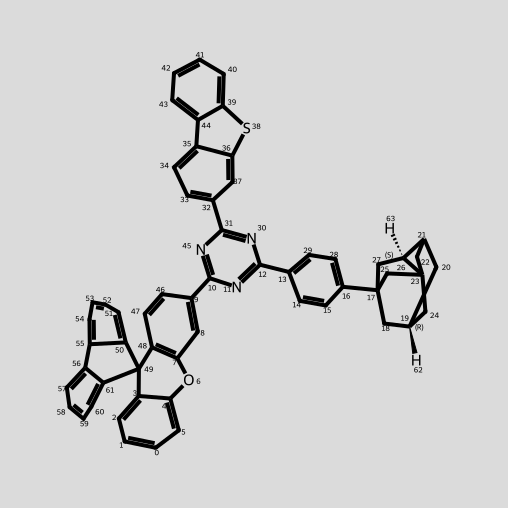 c1ccc2c(c1)Oc1cc(-c3nc(-c4ccc(C56C[C@@H]7CC8CC(C7)(C5)[C@H]8C6)cc4)nc(-c4ccc5c(c4)sc4ccccc45)n3)ccc1C21c2ccccc2-c2ccccc21